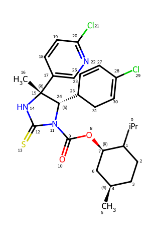 CC(C)C1CC[C@@H](C)C[C@H]1OC(=O)N1C(=S)N[C@](C)(c2ccc(Cl)nc2)[C@@H]1C1C=CC(Cl)=CC1